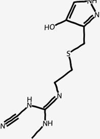 CN/C(=N/CCSCc1n[nH]cc1O)NC#N